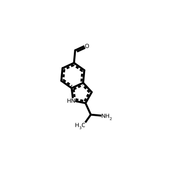 CC(N)c1cc2cc(C=O)ccc2[nH]1